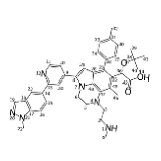 CNCCN1CCn2c(-c3ccnc(-c4ccc5c(cnn5C)c4)c3)cc3c(-c4ccc(C)cc4)c([C@H](OC(C)(C)C)C(=O)O)c(C)c1c32